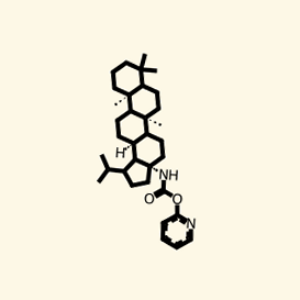 CC(C)C1CC[C@]2(NC(=O)Oc3ccccn3)CCC3[C@H](CCC4[C@@]3(C)CCC3C(C)(C)CCC[C@@]34C)C12